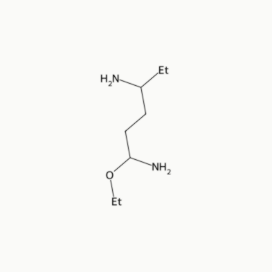 CCOC(N)CCC(N)CC